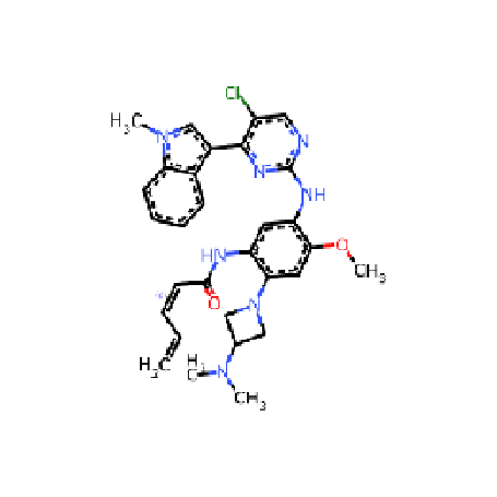 C=C/C=C\C(=O)Nc1cc(Nc2ncc(Cl)c(-c3cn(C)c4ccccc34)n2)c(OC)cc1N1CC(N(C)C)C1